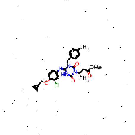 COC(=O)C[C@H](C)n1c(=O)[nH]/c(=N\c2ccc(OCC3CC3)c(Cl)c2)n(Cc2ccc(C)cc2)c1=O